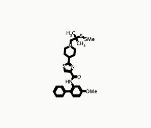 COc1ccc(-c2ccccc2)c(NC(=O)c2csc(C3CCN(CC(C)(C)SSC)CC3)n2)c1